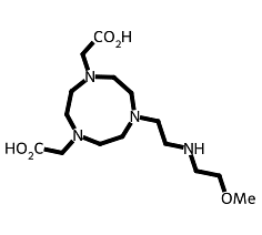 COCCNCCN1CCN(CC(=O)O)CCN(CC(=O)O)CC1